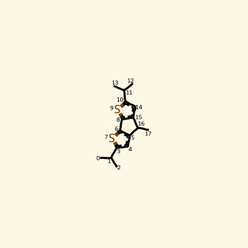 CC(C)c1cc2c(s1)-c1sc(C(C)C)cc1C2C